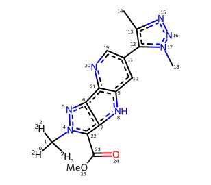 [2H]C([2H])([2H])n1nc2c([nH]c3cc(-c4c(C)nnn4C)cnc32)c1C(=O)OC